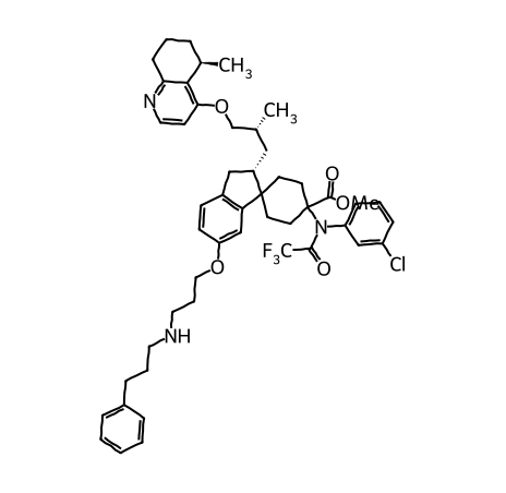 COC(=O)C1(N(C(=O)C(F)(F)F)c2cccc(Cl)c2)CCC2(CC1)c1cc(OCCCNCCCc3ccccc3)ccc1C[C@@H]2C[C@@H](C)COc1ccnc2c1[C@H](C)CCC2